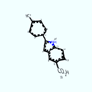 N#Cc1ccc(-c2cc3cc(C(=O)O)ccc3[nH]2)cc1